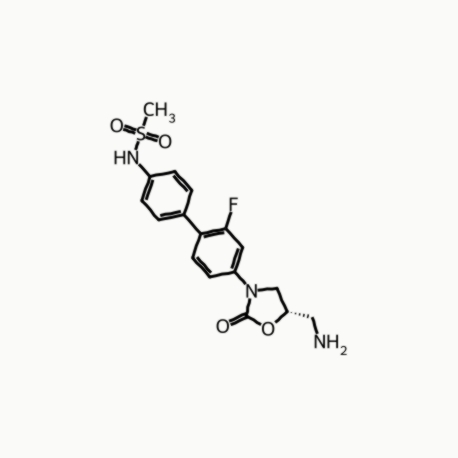 CS(=O)(=O)Nc1ccc(-c2ccc(N3C[C@H](CN)OC3=O)cc2F)cc1